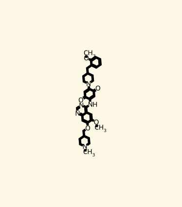 COc1ccccc1CC1CCN(C2=CC(=O)C(Nc3ncnc4cc(OCC5CCN(C)CC5)c(OC)cc34)=CC2=O)CC1